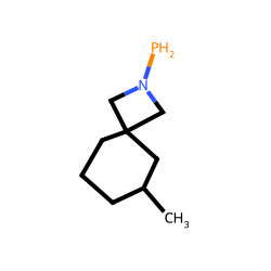 CC1CCCC2(C1)CN(P)C2